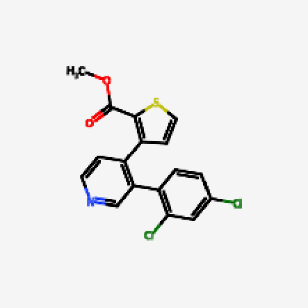 COC(=O)c1sccc1-c1ccncc1-c1ccc(Cl)cc1Cl